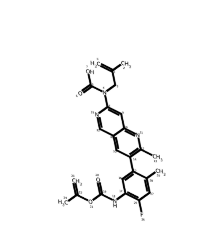 C=C(C)CN(C(=O)O)c1cc2nc(C)c(-c3cc(NC(=O)OC(=C)C)c(F)cc3C)cc2cn1